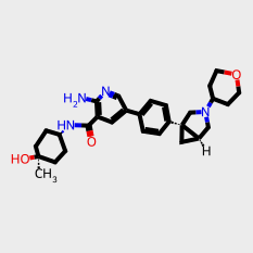 C[C@]1(O)CC[C@H](NC(=O)c2cc(-c3ccc([C@@]45C[C@@H]4CN(C4CCOCC4)C5)cc3)cnc2N)CC1